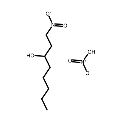 CCCCCC(O)CC[N+](=O)[O-].O=[N+]([O-])O